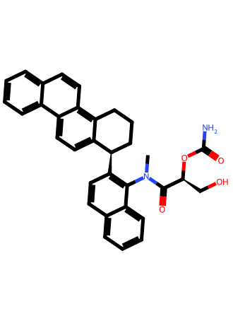 CN(C(=O)[C@H](CO)OC(N)=O)c1c([C@@H]2CCCc3c2ccc2c3ccc3ccccc32)ccc2ccccc12